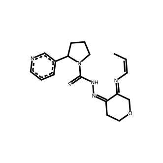 C\C=C/N=C1\COCC\C1=N\NC(=S)N1CCCC1c1cccnc1